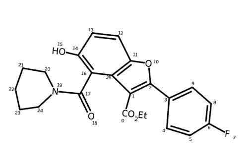 CCOC(=O)c1c(-c2ccc(F)cc2)oc2ccc(O)c(C(=O)N3CCCCC3)c12